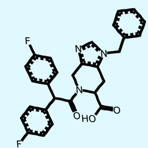 O=C(O)C1Cc2c(ncn2Cc2ccccc2)CN1C(=O)C(c1ccc(F)cc1)c1ccc(F)cc1